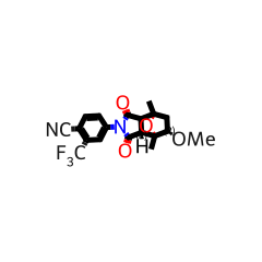 CO[C@@H]1CC2(C)OC1(C)[C@@H]1C(=O)N(c3ccc(C#N)c(C(F)(F)F)c3)C(=O)C12